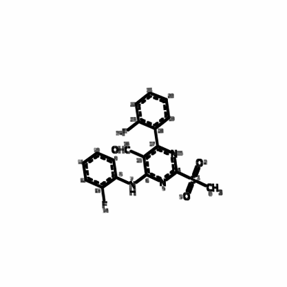 CS(=O)(=O)c1nc(Nc2ccccc2F)c(C=O)c(-c2ccccc2F)n1